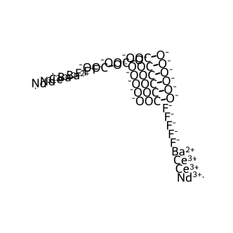 O=C([O-])[O-].O=C([O-])[O-].O=C([O-])[O-].O=C([O-])[O-].O=C([O-])[O-].O=C([O-])[O-].O=C([O-])[O-].O=C([O-])[O-].[Ba+2].[Ba+2].[Ba+2].[Ce+3].[Ce+3].[Ce+3].[F-].[F-].[F-].[F-].[F-].[F-].[F-].[F-].[Nd+3].[Nd+3].[Nd+3]